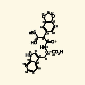 CCCCC(O)C(C(=O)N[C@@H](Cc1c[nH]c2ncccc12)C(=O)O)c1ccc2c(c1)OCO2